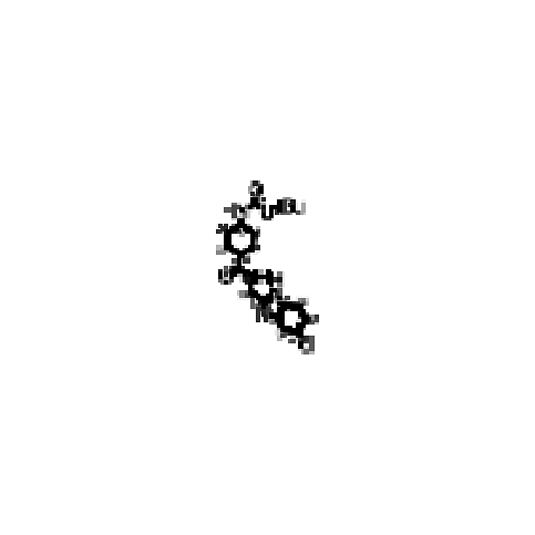 CC(C)(C)OC(=O)NC1CCC(C(=O)NCc2nc3cc(Cl)ccc3[nH]2)CC1